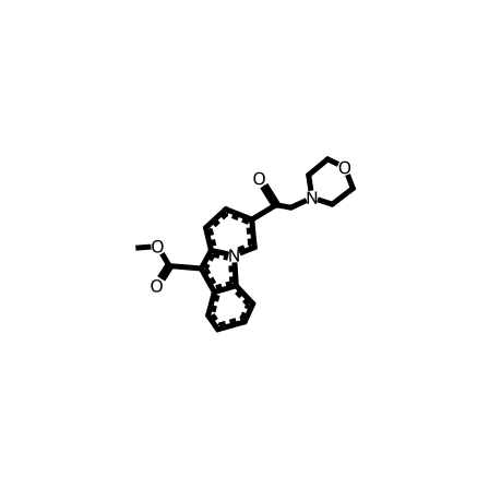 COC(=O)c1c2ccccc2n2cc(C(=O)CN3CCOCC3)ccc12